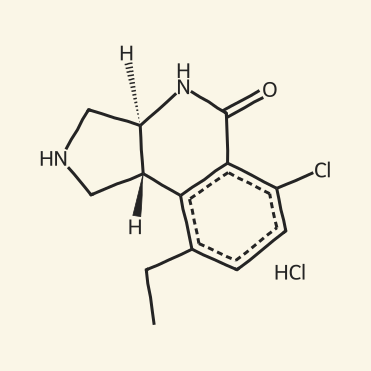 CCc1ccc(Cl)c2c1[C@@H]1CNC[C@H]1NC2=O.Cl